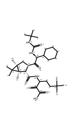 CC(C)(C)NC(=O)N[C@H](C(=O)N1C[C@H]2[C@@H]([C@H]1C(=O)NC(CCC(F)(F)F)C(=O)C(=O)O)C2(C)C)C1CCCCC1